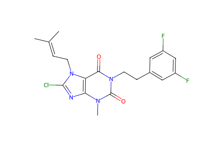 CC(C)=CCn1c(Cl)nc2c1c(=O)n(CCc1cc(F)cc(F)c1)c(=O)n2C